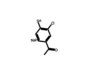 CC(=O)c1ccc(S)c(Cl)c1.[NaH]